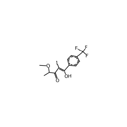 COC(C)C(=O)C(I)=C(O)c1ccc(C(F)(F)F)cc1